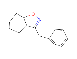 c1ccc(CC2=NOC3CCCCC23)cc1